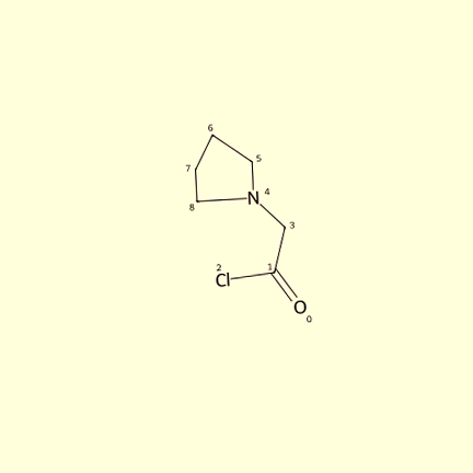 O=C(Cl)CN1CCCC1